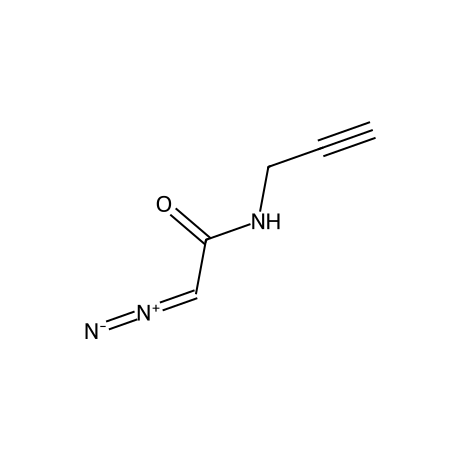 C#CCNC(=O)C=[N+]=[N-]